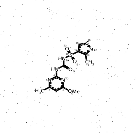 COc1cc(C)nc(NC(=O)NS(=O)(=O)c2csnc2C)n1